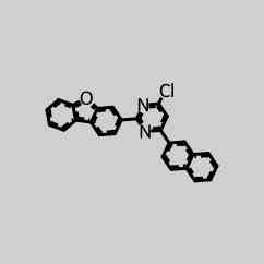 Clc1cc(-c2ccc3ccccc3c2)nc(-c2ccc3c(c2)oc2ccccc23)n1